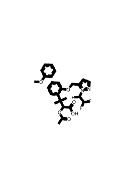 CC(=O)OC(C(=O)O)C(C)(C)c1ccccc1OCc1ccnn1C(F)C(F)F.COc1ccccc1